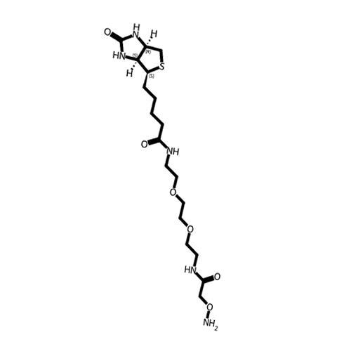 NOCC(=O)NCCOCCOCCNC(=O)CCCC[C@@H]1SC[C@@H]2NC(=O)N[C@@H]21